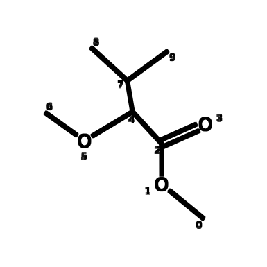 COC(=O)C(OC)C(C)C